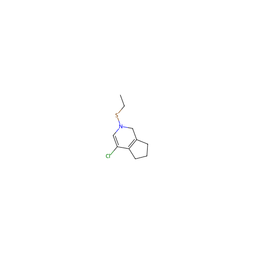 CCSN1C=C(Cl)C2=C(CCC2)C1